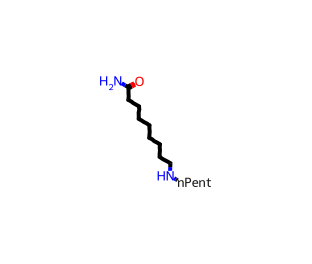 CCCCCNCCCCCCCCC(N)=O